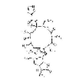 CC[C@H]1OC(=O)[C@H](C)C(=O)[C@H](C)[C@@H](OC2O[C@H](C)C[C@H]3C2OC(=O)N3C)[C@](C)(OC)C[C@@H](C)C(=O)/C(C)=C/[C@]1(C)OC(=O)n1ccnc1